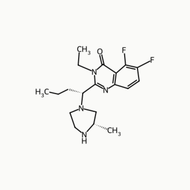 CCC[C@H](c1nc2ccc(F)c(F)c2c(=O)n1CC)N1CCN[C@@H](C)C1